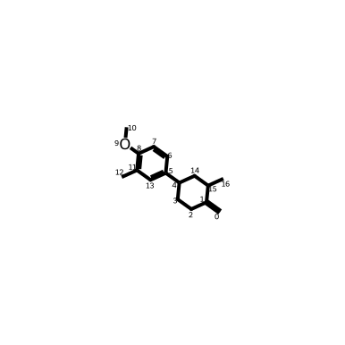 C=C1CCC(c2ccc(OC)c(C)c2)CC1C